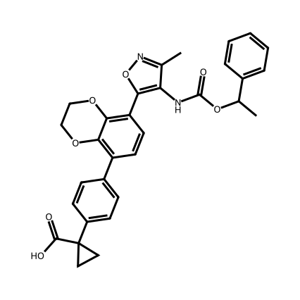 Cc1noc(-c2ccc(-c3ccc(C4(C(=O)O)CC4)cc3)c3c2OCCO3)c1NC(=O)OC(C)c1ccccc1